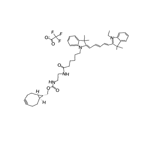 CC[N+]1=C(/C=C/C=C/C=C2/N(CCCCCC(=O)NCCNC(=O)OC[C@H]3[C@@H]4CCC#CCC[C@@H]43)c3ccccc3C2(C)C)C(C)(C)c2ccccc21.O=C([O-])C(F)(F)F